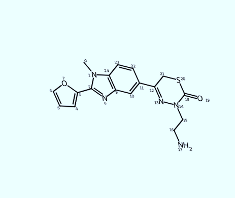 Cn1c(-c2ccco2)nc2cc(C3=NN(CCN)C(=O)SC3)ccc21